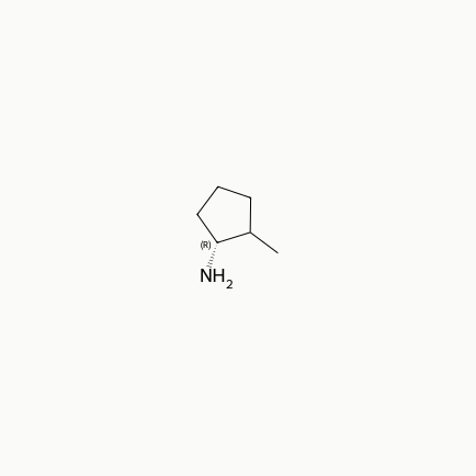 CC1CCC[C@H]1N